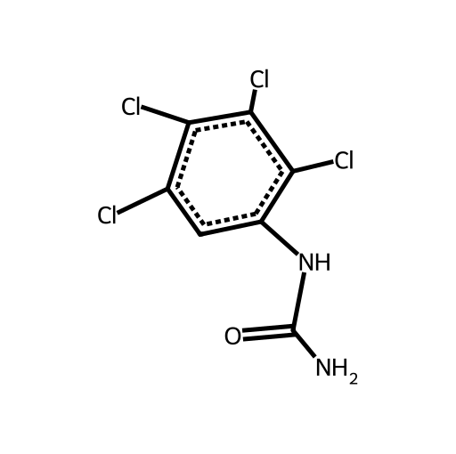 NC(=O)Nc1cc(Cl)c(Cl)c(Cl)c1Cl